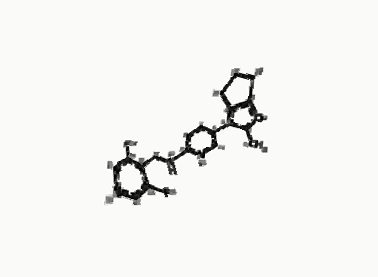 Cc1oc2c(c1-c1ccc(NCc3c(F)cncc3F)nc1)CCC2